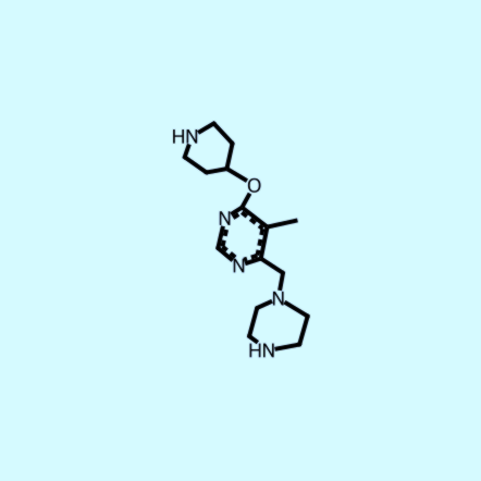 Cc1c(CN2CCNCC2)ncnc1OC1CCNCC1